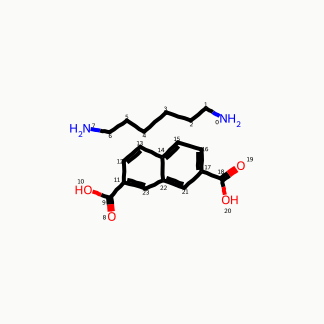 NCCCCCCN.O=C(O)c1ccc2ccc(C(=O)O)cc2c1